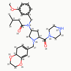 COc1cccc(CN(C(=O)CC(C)C)C2CC(C(=O)N3CCNCC3)N(CC3=CCC4OCCOC4=C3)C2)c1